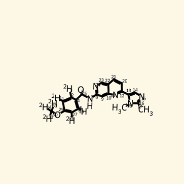 [2H]c1c([2H])c(C(=O)Nc2cc3nc(-c4cnc(C)n4C)ccc3cn2)c([2H])c([2H])c1OC([2H])([2H])[2H]